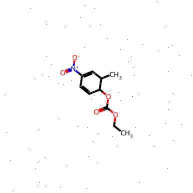 CCOC(=O)OC1C=CC([N+](=O)[O-])=CC1C